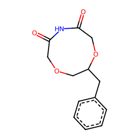 O=C1COCC(Cc2ccccc2)OCC(=O)N1